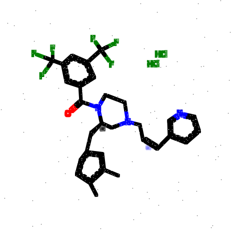 Cc1ccc(C[C@@H]2CN(C/C=C\c3cccnc3)CCN2C(=O)c2cc(C(F)(F)F)cc(C(F)(F)F)c2)cc1C.Cl.Cl